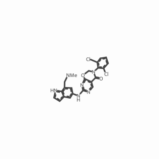 CNCc1cc(Nc2ncc3c(n2)OCN(c2c(Cl)cccc2Cl)C3=O)cc2cc[nH]c12